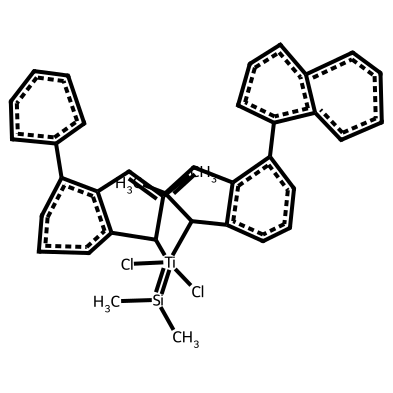 CC1=Cc2c(-c3ccccc3)cccc2[CH]1[Ti]([Cl])([Cl])([CH]1C(C)=Cc2c(-c3cccc4ccccc34)cccc21)=[Si](C)C